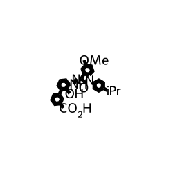 COc1ccc2c(c1)/C(=N/Nc1cccc(-c3cccc(C(=O)O)c3)c1O)C(=O)N2c1ccc(C(C)C)cc1